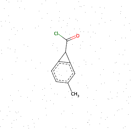 Cc1ccc2c(c1)C2C(=O)Cl